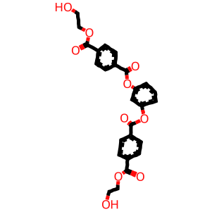 O=C(OCCO)c1ccc(C(=O)Oc2cccc(OC(=O)c3ccc(C(=O)OCCO)cc3)c2)cc1